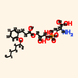 CCCCCC(C)Oc1ccccc1CCC(=O)OC[C@@H](O)COP(=O)(O)OC[C@H](N)C(=O)O